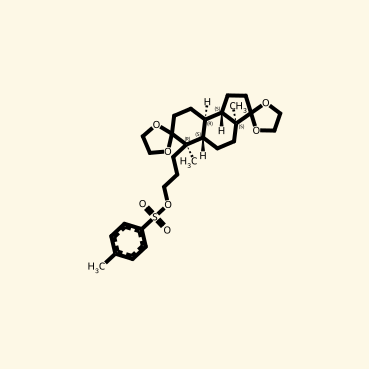 Cc1ccc(S(=O)(=O)OCCC[C@]2(C)[C@H]3CC[C@@]4(C)[C@@H](CCC45OCCO5)[C@@H]3CCC23OCCO3)cc1